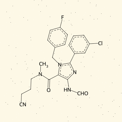 CN(CCCC#N)C(=O)c1c(NC=O)nc(-c2cccc(Cl)c2)n1Cc1ccc(F)cc1